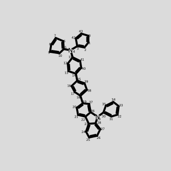 c1ccc(N(c2ccccc2)c2ccc(-c3ccc(-c4ccc5c6ccccc6n(-c6ccccc6)c5c4)cc3)cc2)cc1